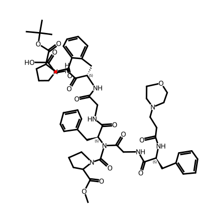 COC(=O)C1CCCN1C(=O)N(C(=O)CNC(=O)[C@H](Cc1ccccc1)NC(=O)CCN1CCOCC1)[C@@H](Cc1ccccc1)C(=O)NCC(=O)N[C@@H](Cc1ccccc1C(=O)N1CCCC1C(=O)OC(C)(C)C)C(=O)NCC(=O)O